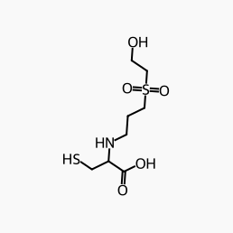 O=C(O)C(CS)NCCCS(=O)(=O)CCO